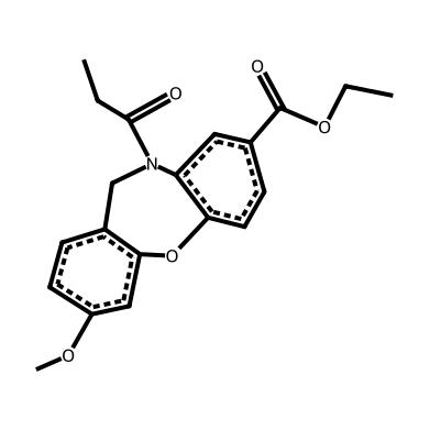 CCOC(=O)c1ccc2c(c1)N(C(=O)CC)Cc1ccc(OC)cc1O2